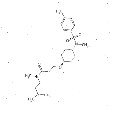 CN(C)CCN(C)C(=O)CCO[C@H]1CC[C@H](N(C)S(=O)(=O)c2ccc(C(F)(F)F)cc2)CC1